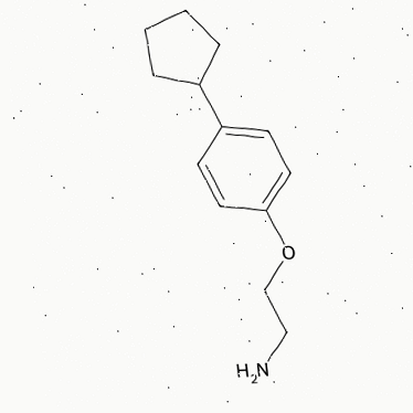 NCCOc1ccc(C2CCCC2)cc1